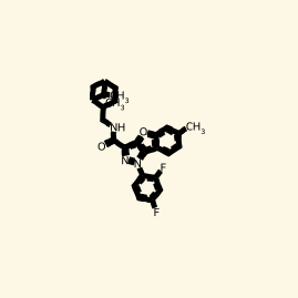 Cc1ccc2c(c1)oc1c(C(=O)NCC3CCC4CC3C4(C)C)nn(-c3ccc(F)cc3F)c12